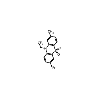 Cc1ccc2c(c1)N(CC(F)(F)F)c1ccc(C(C)C)cc1S2(=O)=O